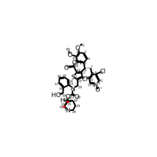 COc1ccc([C@H](Cc2c(Cl)c[n+]([O-])cc2Cl)c2cc(CN(C(=O)O[C@H]3CN4CCC3CC4)c3ccccc3CO)sc2C(=O)O)cc1OC